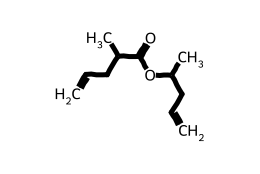 C=CCC(C)OC(=O)C(C)CC=C